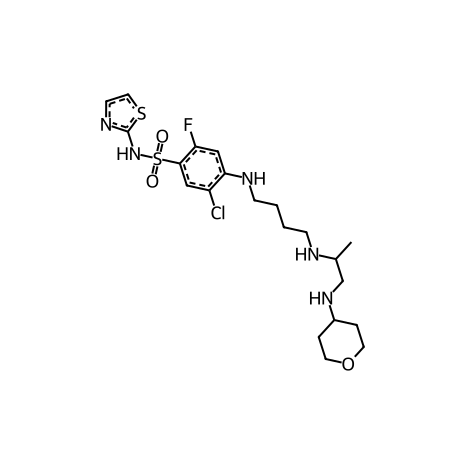 CC(CNC1CCOCC1)NCCCCNc1cc(F)c(S(=O)(=O)Nc2nccs2)cc1Cl